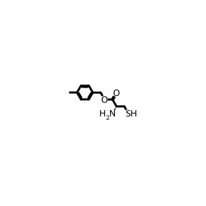 Cc1ccc(COC(=O)[C@@H](N)CS)cc1